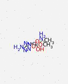 CC(C)C(N)C(=O)OC1C[C@H](n2cnc3c(N)ncnc32)O[C@@H]1CO